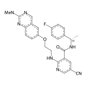 CNc1ncc2cc(OCCNc3ncc(C#N)cc3C(=O)N[C@@H](C)c3ccc(F)cc3)ccc2n1